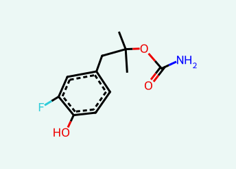 CC(C)(Cc1ccc(O)c(F)c1)OC(N)=O